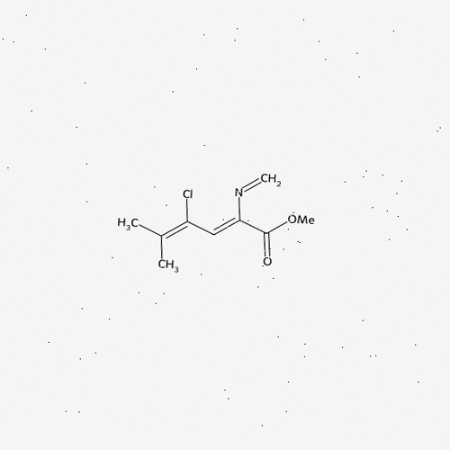 C=N/C(=C\C(Cl)=C(C)C)C(=O)OC